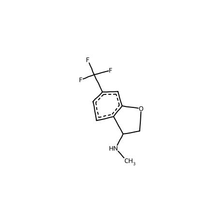 CNC1COc2cc(C(F)(F)F)ccc21